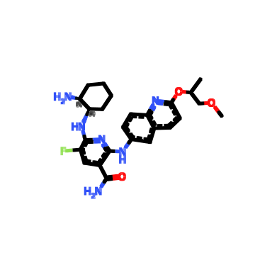 COCC(C)Oc1ccc2cc(Nc3nc(N[C@@H]4CCCC[C@@H]4N)c(F)cc3C(N)=O)ccc2n1